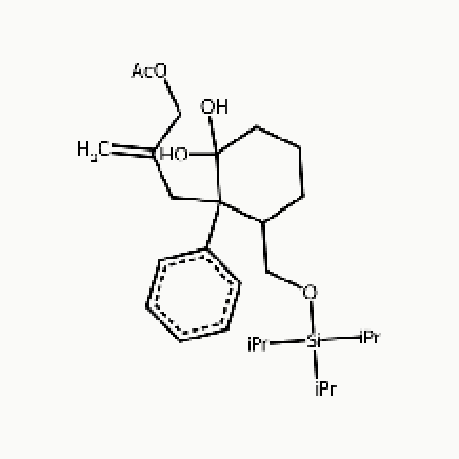 C=C(COC(C)=O)CC1(c2ccccc2)C(CO[Si](C(C)C)(C(C)C)C(C)C)CCCC1(O)O